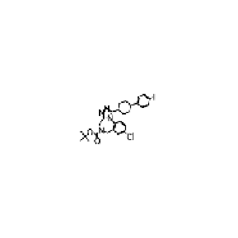 CC(C)(C)OC(=O)N1Cc2cc(Cl)ccc2-n2c(nnc2C2CCC(c3ccc(F)cc3)CC2)C1